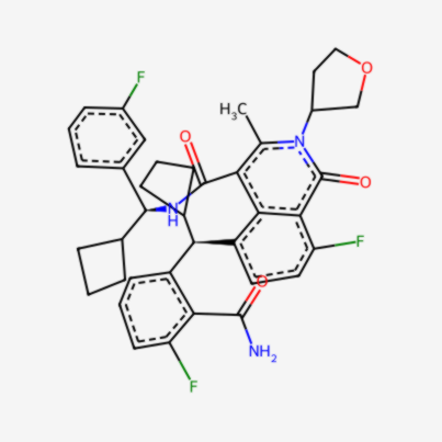 Cc1c(C(=O)N[C@H](c2cccc(F)c2)C2CCC2)c2c([C@@H](c3cccc(F)c3C(N)=O)C3CCC3)ccc(F)c2c(=O)n1C1CCOC1